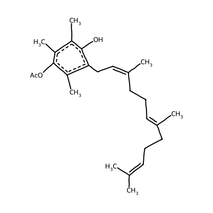 CC(=O)Oc1c(C)c(C)c(O)c(CC=C(C)CC/C=C(\C)CCC=C(C)C)c1C